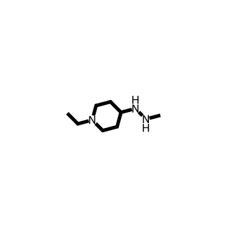 CCN1CCC(NNC)CC1